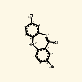 ClC1=Nc2cc(Cl)ccc2Nc2ccc(Br)cc21